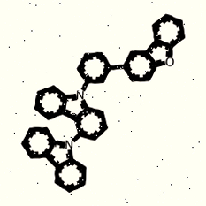 c1cc(-c2ccc3oc4ccccc4c3c2)cc(-n2c3ccccc3c3c(-n4c5ccccc5c5ccccc54)cccc32)c1